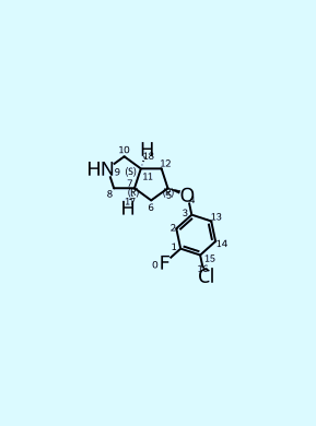 Fc1cc(O[C@H]2C[C@H]3CNC[C@H]3C2)ccc1Cl